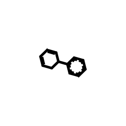 [C]1=CC(c2c[c]ccc2)CC=C1